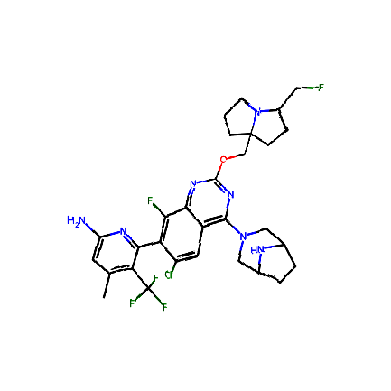 Cc1cc(N)nc(-c2c(Cl)cc3c(N4CC5CCC(C4)N5)nc(OCC45CCCN4C(CF)CC5)nc3c2F)c1C(F)(F)F